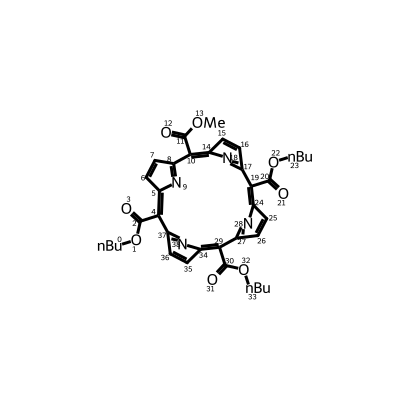 CCCCOC(=O)C1=C2C=CC(=N2)C(C(=O)OC)=C2C=CC(=N2)C(C(=O)OCCCC)=C2C=CC(=N2)C(C(=O)OCCCC)=C2C=CC1=N2